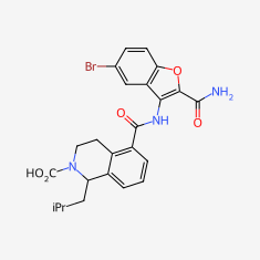 CC(C)CC1c2cccc(C(=O)Nc3c(C(N)=O)oc4ccc(Br)cc34)c2CCN1C(=O)O